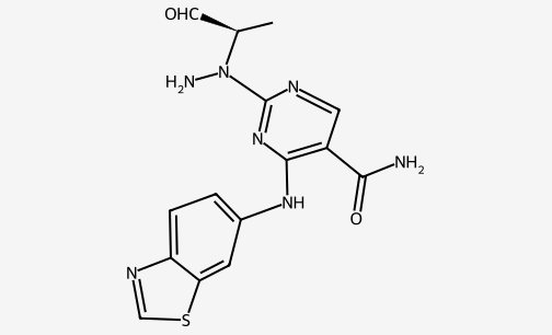 C[C@H](C=O)N(N)c1ncc(C(N)=O)c(Nc2ccc3ncsc3c2)n1